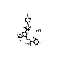 Cc1c(-c2cc(OCC(c3ncc(F)cc3F)N(C)C)c3c(Cl)cnn3c2)nnn1C1CCNCC1.Cl